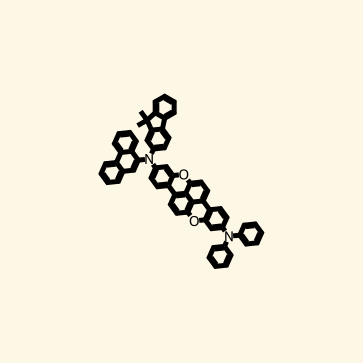 CC1(C)c2ccccc2-c2ccc(N(c3ccc4c(c3)Oc3ccc5c6c(ccc-4c36)Oc3cc(N(c4ccccc4)c4ccccc4)ccc3-5)c3cc4ccccc4c4ccccc34)cc21